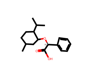 CC1CCC(C(C)C)C(O[C@H](C(=O)O)c2ccccc2)C1